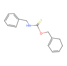 S=C(NCc1ccccc1)OCC1=CC=CCC1